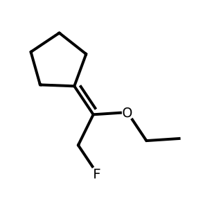 CCOC(CF)=C1CCCC1